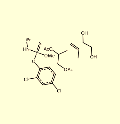 C=CC.CC(=O)OCC(C)OC(C)=O.COP(=S)(NC(C)C)Oc1ccc(Cl)cc1Cl.OCCO